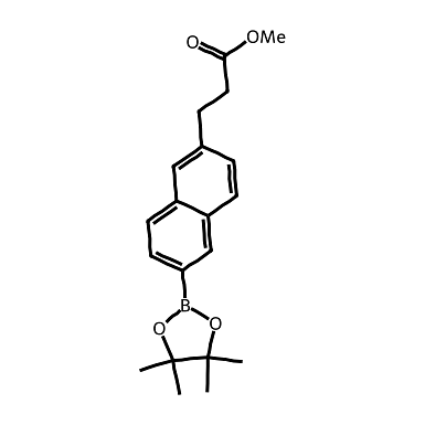 COC(=O)CCc1ccc2cc(B3OC(C)(C)C(C)(C)O3)ccc2c1